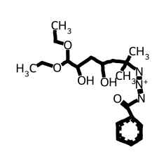 CCOC(OCC)C(O)CC(O)CC(C)(C)N=[N+]=NC(=O)c1ccccc1